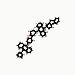 c1ccc(-c2c3ccccc3c(-c3ccc4c(c3)oc3ccc(-c5c6ccccc6c(-c6ccc7c(c6)Cc6ccccc6-7)c6ccccc56)cc34)c3ccccc23)cc1